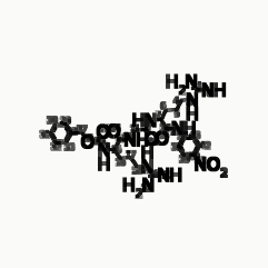 N=C(N)NCCCC(NC(=O)CNC(=O)C(CCCNC(=N)N)NC(=O)OCc1ccccc1)C(=O)Nc1ccc([N+](=O)[O-])cc1